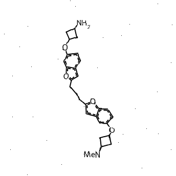 CNC1CC(Oc2ccc3oc(CCCc4cc5ccc(OC6CC(N)C6)cc5o4)cc3c2)C1